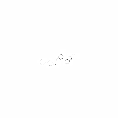 O=C([C@H]1Cc2cc(Cl)cc(-c3ccnc4cc(CO)sc34)c2O1)N1CCC(N2CCCCC2)CC1